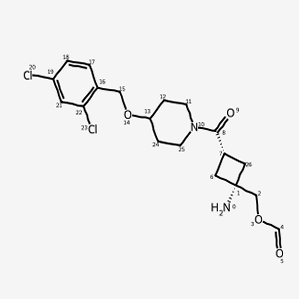 N[C@]1(COC=O)C[C@H](C(=O)N2CCC(OCc3ccc(Cl)cc3Cl)CC2)C1